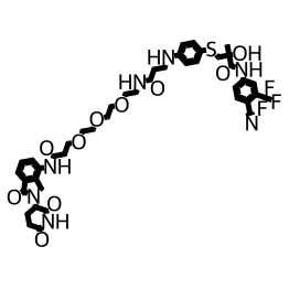 CC(O)(CSc1ccc(NCCC(=O)NCCOCCOCCOCCC(=O)Nc2cccc3c2CN(C2CCC(=O)NC2=O)C3=O)cc1)C(=O)Nc1ccc(C#N)c(C(F)(F)F)c1